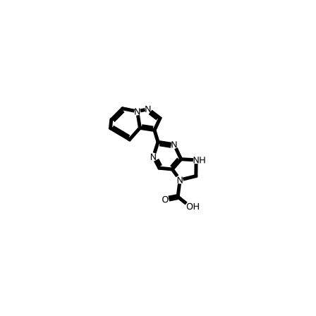 O=C(O)N1CNc2nc(-c3cnn4ccccc34)ncc21